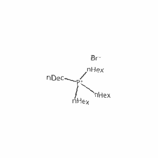 CCCCCCCCCC[P+](CCCCCC)(CCCCCC)CCCCCC.[Br-]